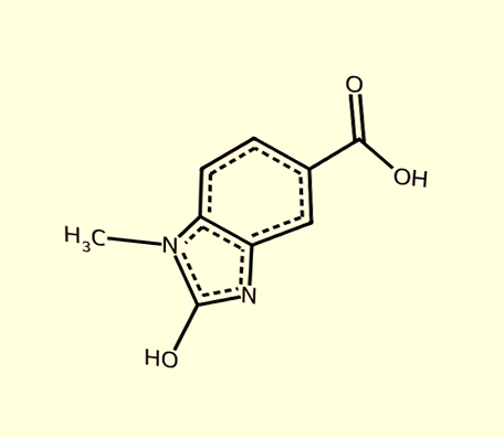 Cn1c(O)nc2cc(C(=O)O)ccc21